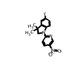 CC1(C)CN(c2ccc([N+](=O)[O-])cn2)c2ccc(F)cc21